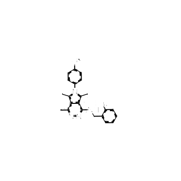 CCOc1ccc(-n2c(C)c3c(C)nnc(NCc4ccccc4C(F)(F)F)c3c2C)cc1